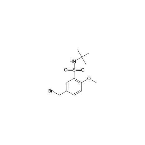 COc1ccc(CBr)cc1S(=O)(=O)NC(C)(C)C